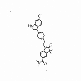 CN(C)C(=O)c1ccc2c(c1)C(C)(C)C(=O)N2CCN1CC=C(c2c[nH]c3cc(Cl)ccc23)CC1